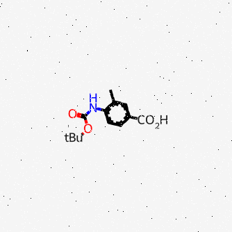 Cc1cc(C(=O)O)ccc1NC(=O)OC(C)(C)C